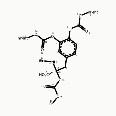 CCCCCOC(=O)Oc1ccc(C[C@](NC(C)CC)(OC(=O)OC(C)C)C(=O)O)cc1OC(=O)OCCCCC